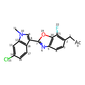 CC(=O)Cc1ccc2nc(-c3cn(C)c4cc(Cl)ccc34)oc2c1F